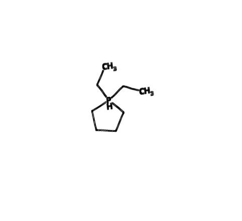 CC[PH]1(CC)CCCC1